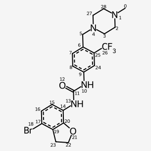 CN1CCN(Cc2ccc(NC(=O)Nc3ccc(Br)c4c3OCC4)cc2C(F)(F)F)CC1